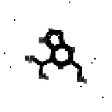 CCc1nc(C(C)C)c2[nH]ncc2n1